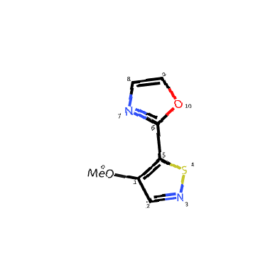 COc1[c]nsc1-c1ncco1